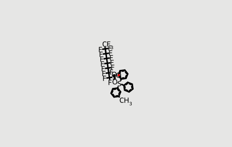 Cc1cccc(S(OS(=O)(=O)C(F)(F)C(F)(F)C(F)(F)C(F)(F)C(F)(F)C(F)(F)C(F)(F)C(F)(F)F)(c2ccccc2)c2ccccc2)c1